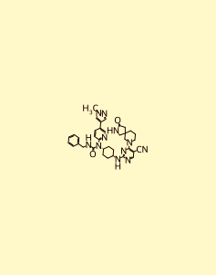 Cn1cc(-c2ccc(N(C(=O)NCc3ccccc3)[C@H]3CC[C@H](Nc4ncc(C#N)c(N5CCCC6(CNC(=O)C6)C5)n4)CC3)nc2)cn1